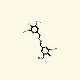 C=C(O)/C(=C\C(C=NN=Cc1cc(C=O)c(O)c(C=O)c1)=C/COC)OC